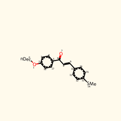 CCCCCCCCCCOc1ccc(C(=O)C=Cc2ccc(SC)cc2)cc1